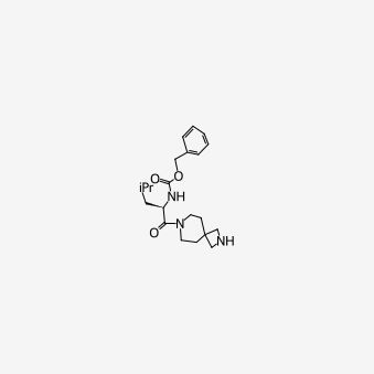 CC(C)C[C@@H](NC(=O)OCc1ccccc1)C(=O)N1CCC2(CC1)CNC2